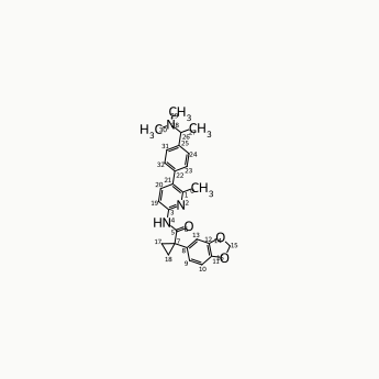 Cc1nc(NC(=O)C2(c3ccc4c(c3)OCO4)CC2)ccc1-c1ccc(C(C)N(C)C)cc1